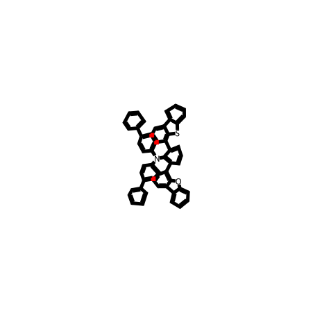 c1ccc(-c2ccc(N(c3ccc(-c4ccccc4)cc3)c3c(-c4cccc5c4oc4ccccc45)cccc3-c3cccc4c3sc3ccccc34)cc2)cc1